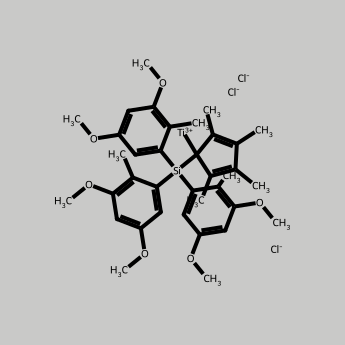 COc1cc(OC)c(C)c([Si](c2cc(OC)cc(OC)c2C)(c2cc(OC)cc(OC)c2C)[C]2([Ti+3])C(C)=C(C)C(C)=C2C)c1.[Cl-].[Cl-].[Cl-]